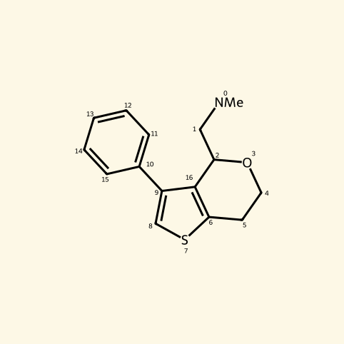 CNCC1OCCc2scc(-c3ccccc3)c21